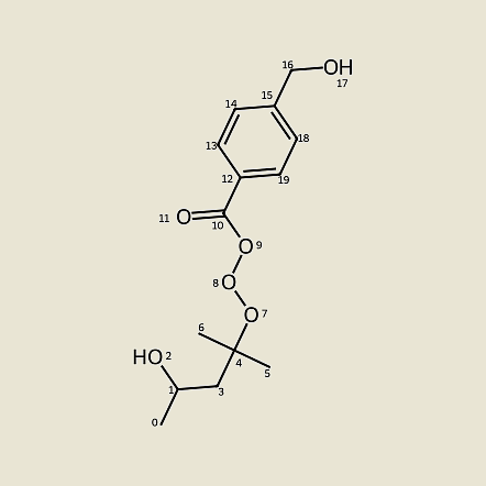 CC(O)CC(C)(C)OOOC(=O)c1ccc(CO)cc1